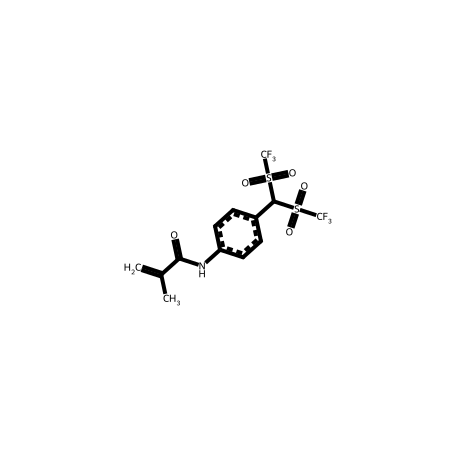 C=C(C)C(=O)Nc1ccc(C(S(=O)(=O)C(F)(F)F)S(=O)(=O)C(F)(F)F)cc1